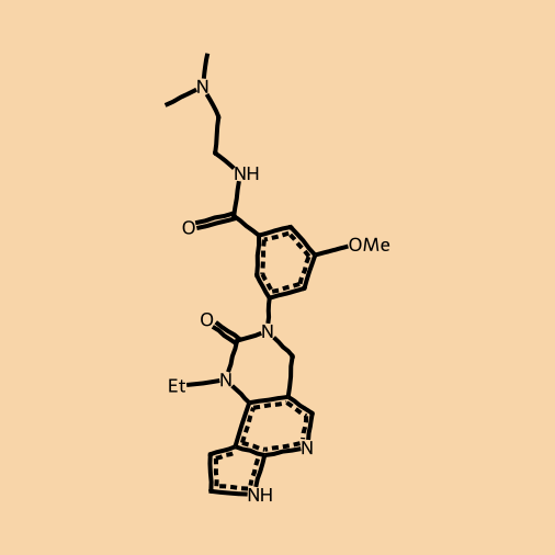 CCN1C(=O)N(c2cc(OC)cc(C(=O)NCCN(C)C)c2)Cc2cnc3[nH]ccc3c21